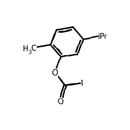 Cc1ccc(C(C)C)cc1OC(=O)I